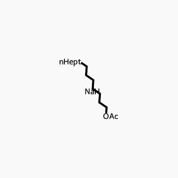 CCCCCCCCCCCCCCOC(C)=O.[NaH]